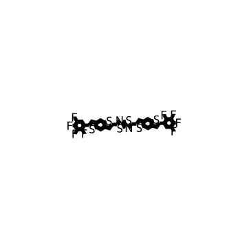 Fc1cc(-c2cc3cc4sc(-c5nc6sc(-c7cc8cc9sc(-c%10cc(F)c(F)c(F)c%10F)cc9cc8s7)nc6s5)cc4cc3s2)c(F)c(F)c1F